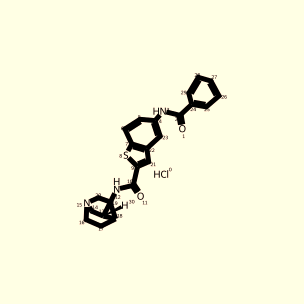 Cl.O=C(Nc1ccc2sc(C(=O)N[C@H]3CN4CCC3CC4)cc2c1)c1ccccc1